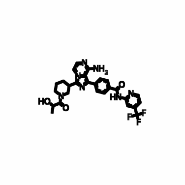 CC(O)C(=O)N1CCCC(c2nc(-c3ccc(C(=O)Nc4cc(C(F)(F)F)ccn4)cc3)c3c(N)nccn23)C1